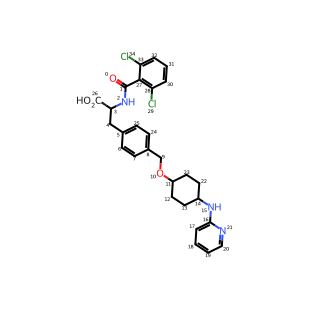 O=C(NC(Cc1ccc(COC2CCC(Nc3ccccn3)CC2)cc1)C(=O)O)c1c(Cl)cccc1Cl